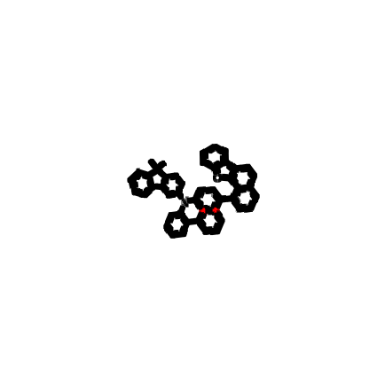 CC1(C)c2ccccc2-c2cc(N(c3ccc(-c4cccc5ccc6c7ccccc7oc6c45)cc3)c3ccccc3-c3ccccc3)ccc21